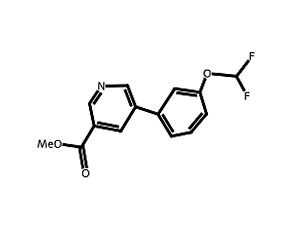 COC(=O)c1cncc(-c2cccc(OC(F)F)c2)c1